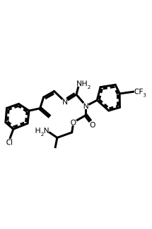 C=C(/C=C\N=C(/N)N(C(=O)OCC(C)N)c1ccc(C(F)(F)F)cc1)c1cccc(Cl)c1